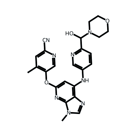 Cc1cc(C#N)ncc1Oc1cc(Nc2ccc(C(O)N3CCOCC3)nc2)c2ncn(C)c2n1